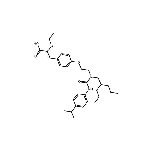 CCCC(CCC)CN(CCOc1ccc(CC(OCC)C(=O)O)cc1)C(=O)Nc1ccc(C(C)C)cc1